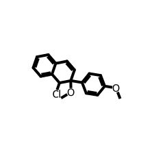 COc1ccc(C2(OC)C=Cc3ccccc3C2Cl)cc1